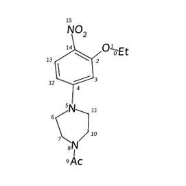 CCOc1cc(N2CCN(C(C)=O)CC2)ccc1[N+](=O)[O-]